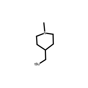 CN1CCC(CC(C)(C)C)CC1